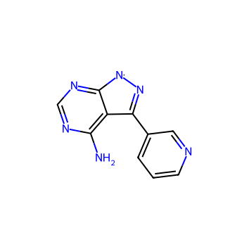 Nc1ncnc2c1C(c1cccnc1)=N[N]2